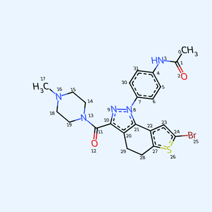 CC(=O)Nc1ccc(-n2nc(C(=O)N3CCN(C)CC3)c3c2-c2cc(Br)sc2CC3)cc1